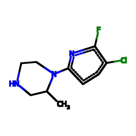 CC1CNCCN1c1ccc(Cl)c(F)n1